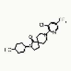 O=C1N(C2CCC(O)CC2)CCC12CCN(c1ncc(C(F)(F)F)cc1Cl)CC2